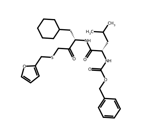 CC(C)C[C@H](NC(=O)OCc1ccccc1)C(=O)N[C@@H](CC1CCCCC1)C(=O)CSCc1ccco1